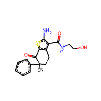 N#CC1(c2ccccc2)CCc2c(sc(N)c2C(=O)NCCO)C1=O